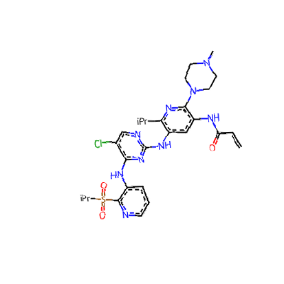 C=CC(=O)Nc1cc(Nc2ncc(Cl)c(Nc3cccnc3S(=O)(=O)C(C)C)n2)c(C(C)C)nc1N1CCN(C)CC1